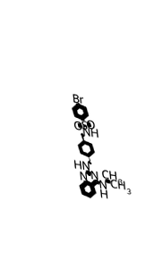 CC(C)Nc1nc(NC[C@H]2CC[C@H](CNS(=O)(=O)c3ccc(Br)cc3)CC2)nc2ccccc12